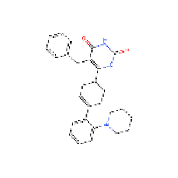 O=c1[nH]c(C2CC=C(c3ccccc3N3CCCCC3)CC2)c(Cc2ccccc2)c(=O)[nH]1